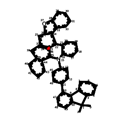 CC1(C)c2ccccc2-c2c(-c3ccc(N(c4ccccc4-c4cccc5oc6ccccc6c45)c4cccc5ccccc45)cc3)cccc21